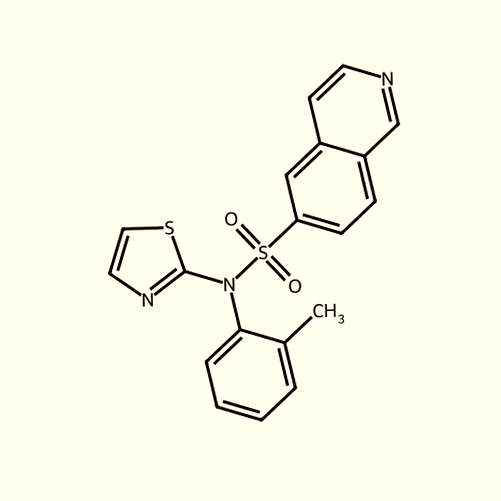 Cc1ccccc1N(c1nccs1)S(=O)(=O)c1ccc2cnccc2c1